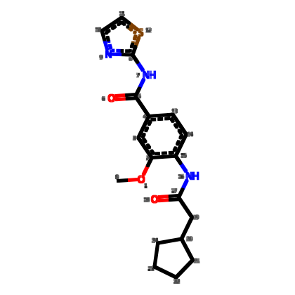 COc1cc(C(=O)Nc2nccs2)ccc1NC(=O)CC1CCCC1